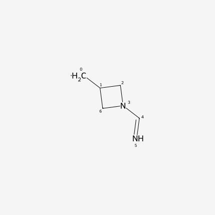 [CH2]C1CN(C=N)C1